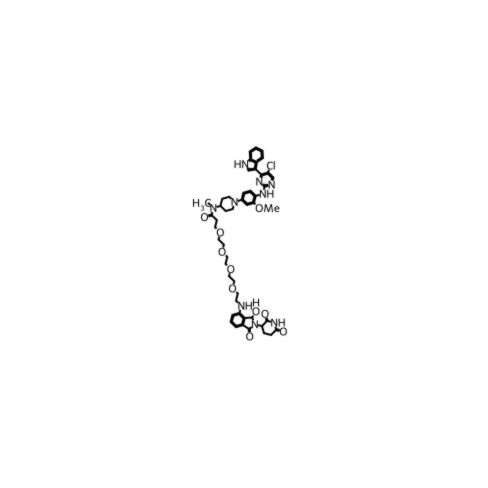 COc1cc(N2CCC(N(C)C(=O)CCOCCOCCOCCOCCNc3cccc4c3C(O)N(C3CCC(=O)NC3=O)C4=O)CC2)ccc1Nc1ncc(Cl)c(-c2c[nH]c3ccccc23)n1